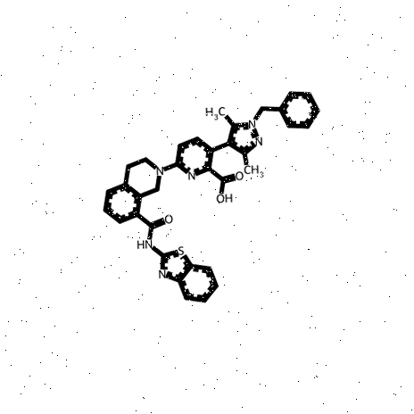 Cc1nn(Cc2ccccc2)c(C)c1-c1ccc(N2CCc3cccc(C(=O)Nc4nc5ccccc5s4)c3C2)nc1C(=O)O